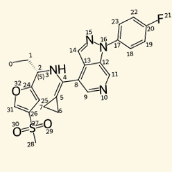 CC[C@H](NC(=C1CC1)c1cncc2c1cnn2-c1ccc(F)cc1)c1cc(S(C)(=O)=O)co1